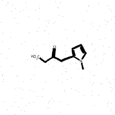 Cn1cccc1CC(=O)CC(=O)O